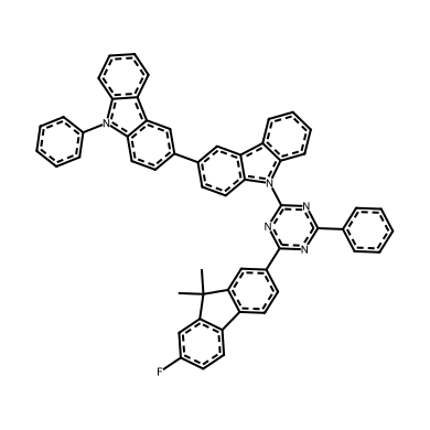 CC1(C)c2cc(F)ccc2-c2ccc(-c3nc(-c4ccccc4)nc(-n4c5ccccc5c5cc(-c6ccc7c(c6)c6ccccc6n7-c6ccccc6)ccc54)n3)cc21